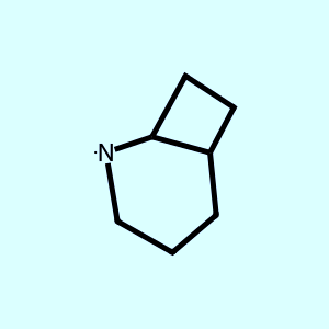 C1C[N]C2CCC2C1